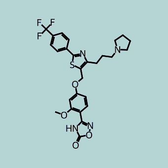 COc1cc(OCc2sc(-c3ccc(C(F)(F)F)cc3)nc2CCCN2CCCC2)ccc1-c1noc(=O)[nH]1